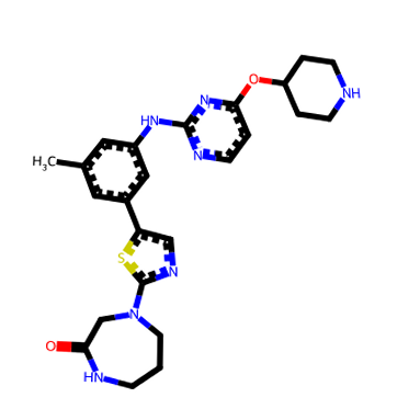 Cc1cc(Nc2nccc(OC3CCNCC3)n2)cc(-c2cnc(N3CCCNC(=O)C3)s2)c1